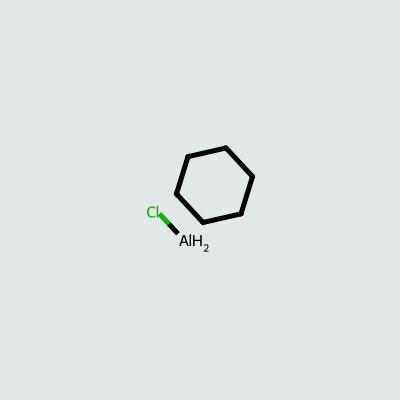 C1CCCCC1.[AlH2][Cl]